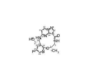 C[C@H]1CNC(=O)c2cnn3ccc(nc23)N[C@@H](CO)c2cc(F)cnc2O1